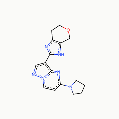 c1cn2ncc(-c3nc4c([nH]3)COCC4)c2nc1N1CCCC1